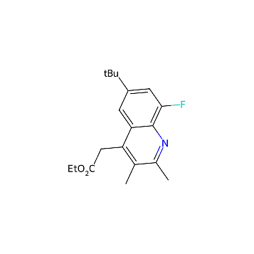 CCOC(=O)Cc1c(C)c(C)nc2c(F)cc(C(C)(C)C)cc12